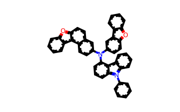 c1ccc(-n2c3ccccc3c3c(N(c4ccc5c(ccc6oc7ccccc7c65)c4)c4ccc5oc6ccccc6c5c4)cccc32)cc1